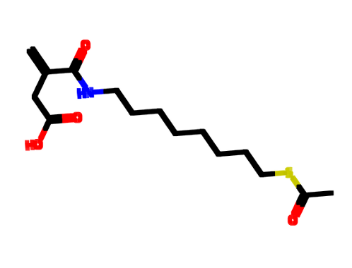 C=C(CC(=O)O)C(=O)NCCCCCCCCSC(C)=O